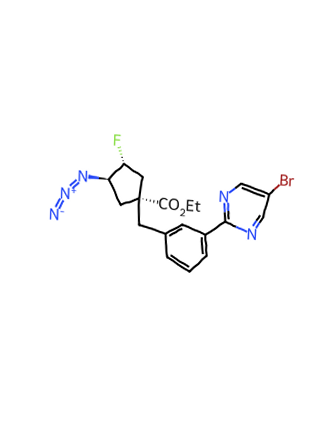 CCOC(=O)[C@@]1(Cc2cccc(-c3ncc(Br)cn3)c2)C[C@@H](F)[C@H](N=[N+]=[N-])C1